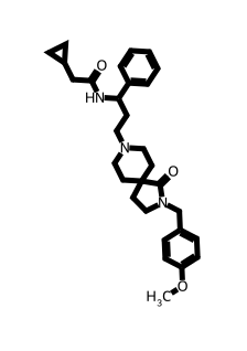 COc1ccc(CN2CCC3(CCN(CCC(NC(=O)CC4CC4)c4ccccc4)CC3)C2=O)cc1